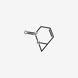 O=[N+]1CC=CC2CN21